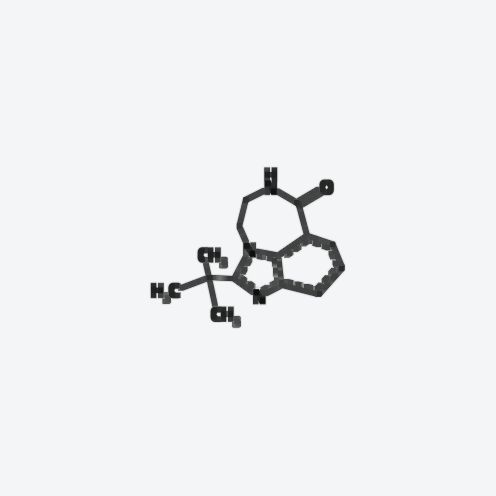 CC(C)(C)c1nc2cccc3c2n1CCNC3=O